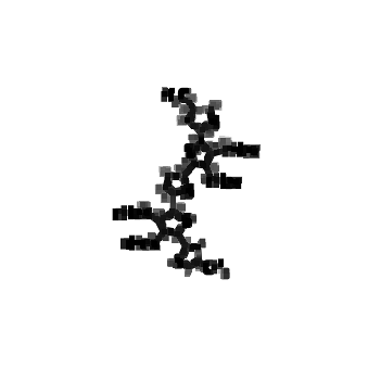 CCCCCCc1c(-c2cc(C)cs2)sc(-c2ccc(-c3sc(-c4cc(C)cs4)c(CCCCCC)c3CCCCCC)s2)c1CCCCCC